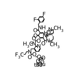 CC1=NO[C@@]2(CC[C@H](C)N3C[C@H]2n2cc(C(=O)NCc4ccc(F)cc4F)c(=O)c(OC(=O)N(C)c4ncccc4CN(CCC(F)(F)F)C(=O)OCOP(=O)(OC(C)(C)C)OC(C)(C)C)c2C3=O)C1